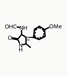 COc1ccc([C@H]2C(C)NC(=O)C2NC=O)cc1